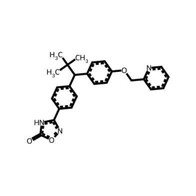 CC(C)(C)C(c1ccc(OCc2ccccn2)cc1)c1ccc(-c2noc(=O)[nH]2)cc1